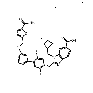 NC(=O)c1ccc(COc2cccc(-c3cc(F)c(Cc4nc5ccc(C(=O)O)cc5n4CC4CCO4)cc3F)n2)o1